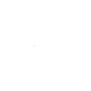 Cc1cn(-c2cc(NC(=O)c3ccc4c(c3)NCC4)cc(C(F)(F)F)c2)cn1